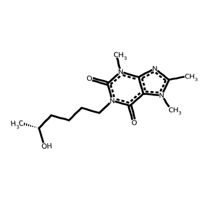 Cc1nc2c(c(=O)n(CCCC[C@@H](C)O)c(=O)n2C)n1C